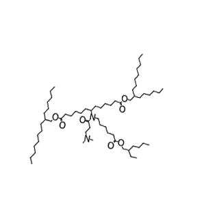 CCCCCCCCC(CCCCCC)COC(=O)CCCCCC(CCCCCC(=O)OCC(CCCCCC)CCCCCCCC)N(CCCCCC(=O)OCC(CC)CCCC)C(=O)CCN(C)C